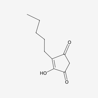 CCCCCC1=C(O)C(=O)CC1=O